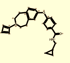 O=C(NCC1CC1)c1ccc(Oc2ccc3c(c2)CCN(C2=CC=C2)CC3)cc1